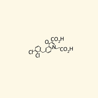 O=C(O)CCn1cc(C(=O)O)c(=O)c2cc(Cc3cccc(Cl)c3Cl)ccc21